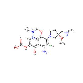 CNCC1(OC)CCN(c2c(F)c(N)c3c(=O)c(OC(=O)O)cn4c3c2OCN4C)C1